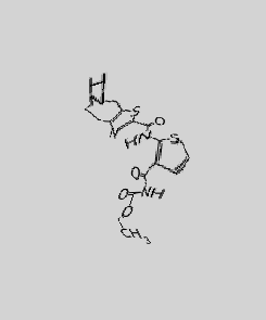 CCOC(=O)NC(=O)c1ccsc1NC(=O)c1nc2c(s1)CNCC2